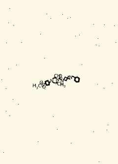 C[C@@H]1CN(c2ccc(S(C)(=O)=O)cc2)C[C@H](C)N1C(=O)NC1CC2(C1)CN(Cc1ccccc1)C2